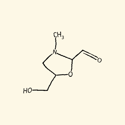 CN1CC(CO)OC1C=O